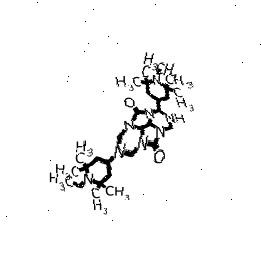 CCN1C(C)(C)CC(N2CN3C(=O)N4CNC(C5CC(C)(C)N(C)C(C)(C)C5)N5C(=O)N(C2)C3C45)CC1(C)C